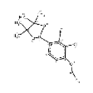 CC1(C)OB(c2ccc(OCF)c(Cl)c2F)OC1(C)C